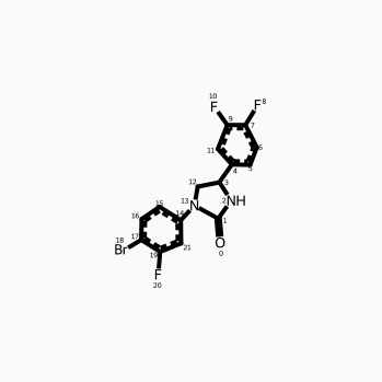 O=C1NC(c2ccc(F)c(F)c2)CN1c1ccc(Br)c(F)c1